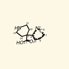 O=C(O)C1(c2ccccn2)CCNCC1